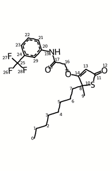 CCCCCCCCC1(C)SC(=O)C=C1OCC(=O)Nc1cccc(C(F)(F)F)c1